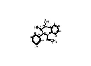 C=CCN(C(=N)N(O)c1ccccc1)c1ccccc1